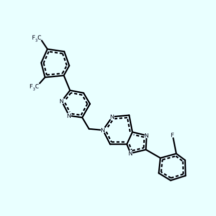 Fc1ccccc1-c1nc2cnn(Cc3ccc(-c4ccc(C(F)(F)F)cc4C(F)(F)F)nn3)cc-2n1